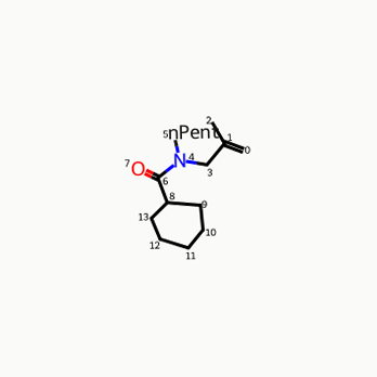 C=C(C)CN(CCCCC)C(=O)C1CCCCC1